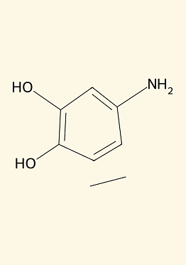 CC.Nc1ccc(O)c(O)c1